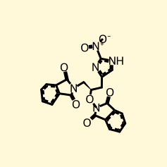 O=C1c2ccccc2C(=O)N1C[C@@H](Cc1c[nH]c([N+](=O)[O-])n1)ON1C(=O)c2ccccc2C1=O